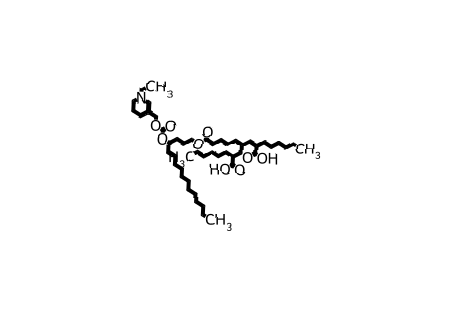 CCCCCCCCCCCCC(CCCOC(=O)CCCCC(CC(CCCCCC)C(=O)O)CC(CCCCCC)C(=O)O)OC(=O)OCC1CCCN(CC)C1